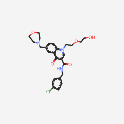 O=C(NCc1ccc(Cl)cc1)c1cn(CCOCCO)c2ccc(CN3CCOCC3)cc2c1=O